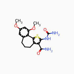 COc1cc2c(c(OC)c1)-c1sc(NC(N)=O)c(C(N)=O)c1CCC2